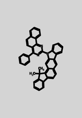 CC1(C)c2ccccc2-c2ccc3cc4c5ccccc5n(-c5nc(-c6ccccc6)c6ccc7ccccc7c6n5)c4cc3c21